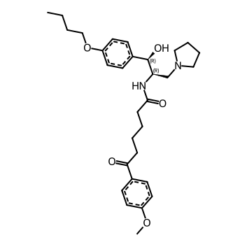 CCCCOc1ccc([C@@H](O)[C@@H](CN2CCCC2)NC(=O)CCCCC(=O)c2ccc(OC)cc2)cc1